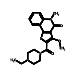 CCN1CCN(C(=O)c2sc3c(c2OC)c(=O)n(C)c2ccccc32)CC1